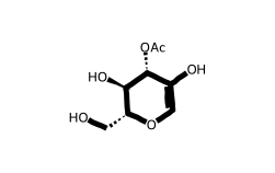 CC(=O)O[C@@H]1C(O)=CO[C@H](CO)[C@H]1O